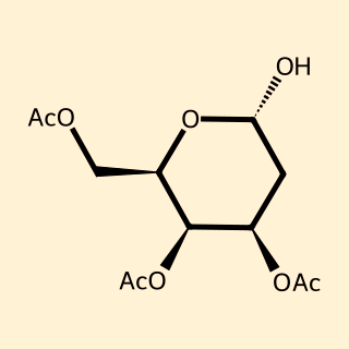 CC(=O)OC[C@H]1O[C@H](O)C[C@@H](OC(C)=O)[C@H]1OC(C)=O